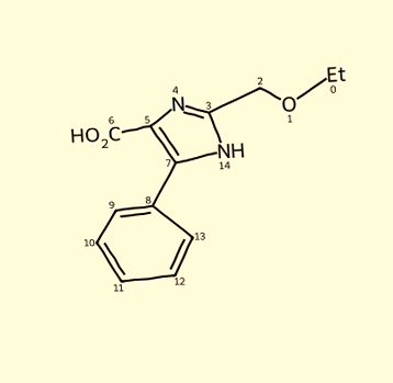 CCOCc1nc(C(=O)O)c(-c2ccccc2)[nH]1